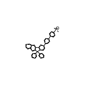 CP(C)(=O)c1ccc(-c2ccc(-c3ccc4c(c3)-c3cc5ccccc5cc3C4(c3ccccc3)c3ccccc3)cc2)cc1